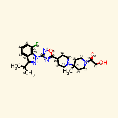 CC(C)c1nn(-c2noc(C3CCN(C4(C)CCN(C(=O)CO)CC4)CC3)n2)c2c(F)cccc12